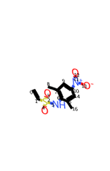 C=CS(=O)(=O)Nc1c(C)cc([N+](=O)[O-])cc1C